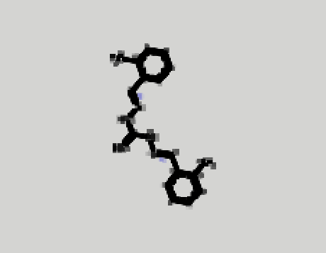 N=C(N/N=C/c1ccccc1C(F)(F)F)N/N=C/c1ccccc1C(F)(F)F